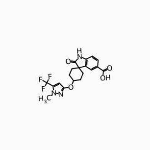 Cn1nc(OC2CCC3(CC2)C(=O)Nc2ccc(C(=O)O)cc23)cc1C(F)(F)F